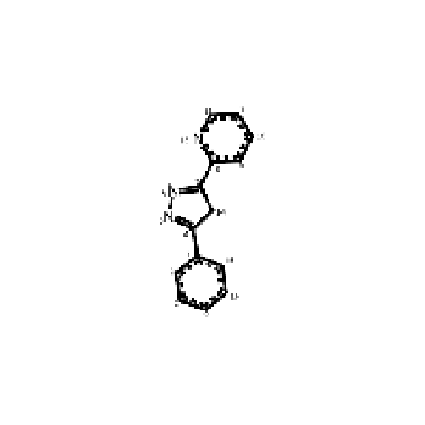 c1ccc(C2=NN=C(c3ccccn3)C2)cc1